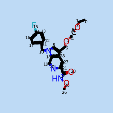 CCOCCOCc1cn(Cc2ccc(F)cc2)c2cnc(C(=O)NOC)cc12